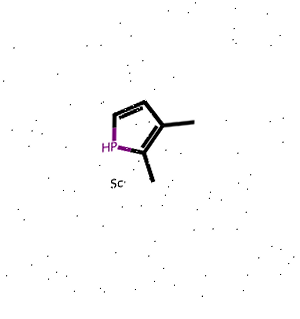 Cc1cc[pH]c1C.[Sc]